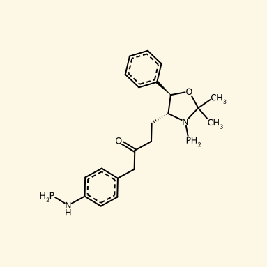 CC1(C)O[C@H](c2ccccc2)[C@@H](CCC(=O)Cc2ccc(NP)cc2)N1P